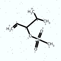 C=CC(OS(C)(=O)=O)C(C)C